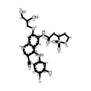 N#Cc1cnc2cc(OCC(O)CO)c(NC(=O)CC3CCSS3(=O)=O)cc2c1Nc1ccc(F)c(Cl)c1